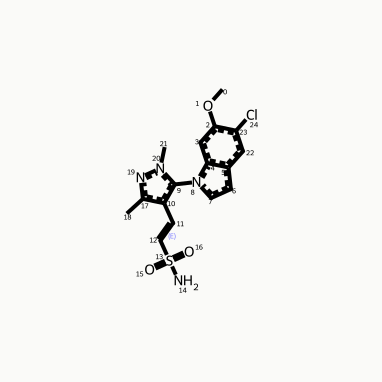 COc1cc2c(ccn2-c2c(/C=C/S(N)(=O)=O)c(C)nn2C)cc1Cl